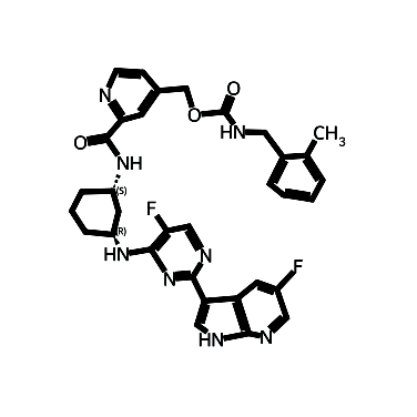 Cc1ccccc1CNC(=O)OCc1ccnc(C(=O)N[C@H]2CCC[C@@H](Nc3nc(-c4c[nH]c5ncc(F)cc45)ncc3F)C2)c1